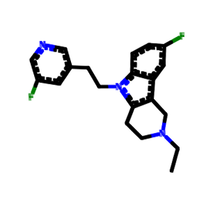 CCN1CCc2c(c3cc(F)ccc3n2CCc2cncc(F)c2)C1